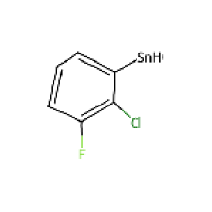 Fc1ccc[c]([SnH])c1Cl